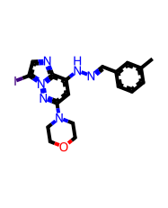 Cc1cccc(C=NNc2cc(N3CCOCC3)nn3c(I)cnc23)c1